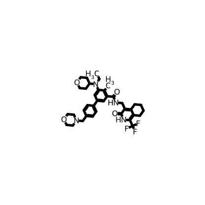 CCN(c1cc(-c2ccc(CN3CCOCC3)cc2)cc(C(=O)NCc2c3c(c(C(F)(F)F)[nH]c2=O)CCCC3)c1C)C1CCOCC1